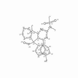 CC(C)c1nc(N(C)S(C)(=O)=O)nc(-c2ccc(F)cc2)c1C(P=O)(c1ccccc1)c1ccccc1